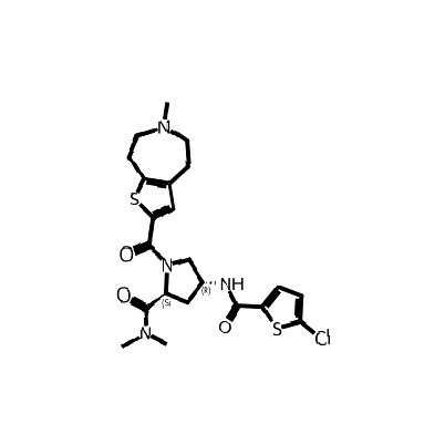 CN1CCc2cc(C(=O)N3C[C@H](NC(=O)c4ccc(Cl)s4)C[C@H]3C(=O)N(C)C)sc2CC1